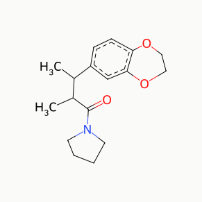 CC(C(=O)N1CCCC1)C(C)c1ccc2c(c1)OCCO2